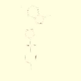 CCSC1=CCC(S(=O)(=O)n2ccc(-c3cn(CC(=O)O)c4ccc(Cl)cc34)c2)C=C1